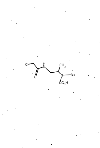 CC(CNC(=O)CCl)N(C(=O)O)C(C)(C)C